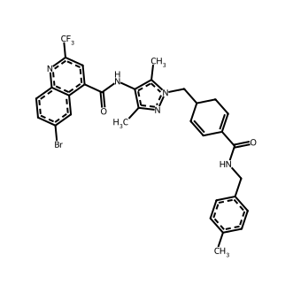 Cc1ccc(CNC(=O)C2=CCC(Cn3nc(C)c(NC(=O)c4cc(C(F)(F)F)nc5ccc(Br)cc45)c3C)C=C2)cc1